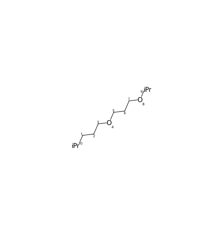 CC(C)CCCOCCCOC(C)C